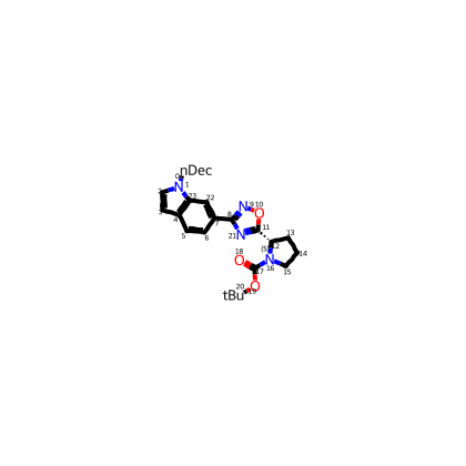 CCCCCCCCCCn1ccc2ccc(-c3noc([C@@H]4CCCN4C(=O)OC(C)(C)C)n3)cc21